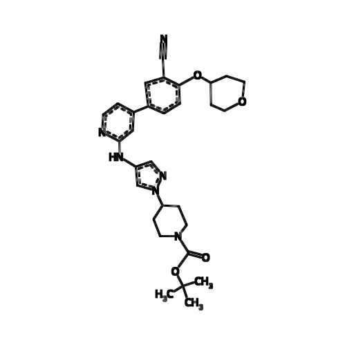 CC(C)(C)OC(=O)N1CCC(n2cc(Nc3cc(-c4ccc(OC5CCOCC5)c(C#N)c4)ccn3)cn2)CC1